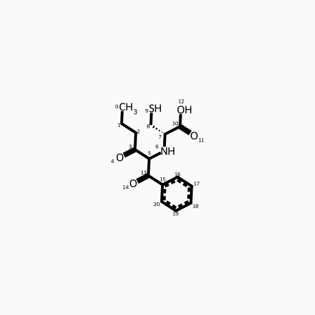 CCCC(=O)C(N[C@H](CS)C(=O)O)C(=O)c1ccccc1